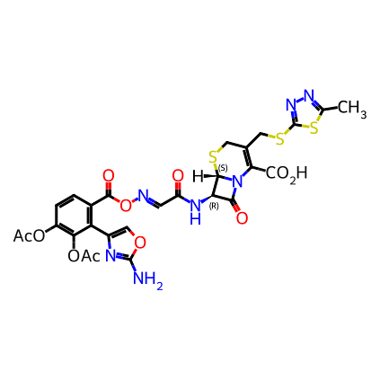 CC(=O)Oc1ccc(C(=O)ON=CC(=O)N[C@@H]2C(=O)N3C(C(=O)O)=C(CSc4nnc(C)s4)CS[C@@H]23)c(-c2coc(N)n2)c1OC(C)=O